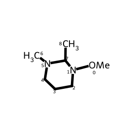 CON1CCCN(C)C1C